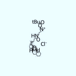 C[C@H](CCC(=O)NCCC[N+](C)(C)COC(=O)C(C)(C)C)[C@H]1CC[C@H]2[C@@H]3CCC4CCCC[C@]4(C)[C@H]3CC[C@]12C.[Cl-]